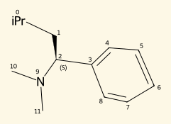 CC(C)C[C@@H](c1ccccc1)N(C)C